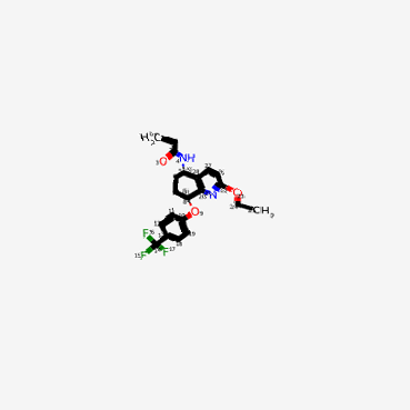 C=CC(=O)N[C@H]1CC[C@@H](Oc2ccc(C(F)(F)F)cc2)c2nc(OCC)ccc21